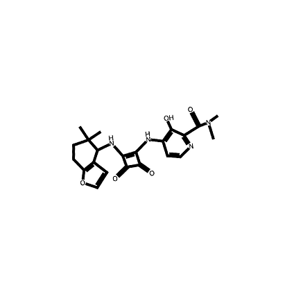 CN(C)C(=O)c1nccc(Nc2c(NC3c4ccoc4CCC3(C)C)c(=O)c2=O)c1O